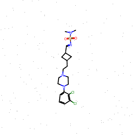 CN(C)S(=O)(=O)/N=C/C1CC(CCN2CCN(c3cccc(Cl)c3Cl)CC2)C1